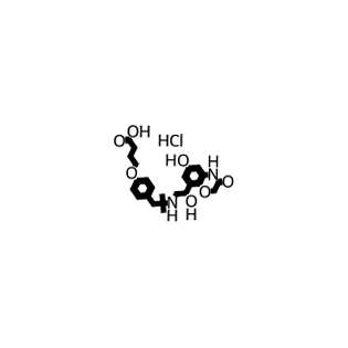 CC(C)(Cc1ccc(OCCCC(=O)O)cc1)NCC(O)c1cc(O)cc2c1OCC(=O)N2.Cl